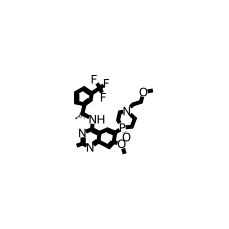 COCCN1CCP(=O)(c2cc3c(N[C@H](C)c4cccc(C(F)(F)F)c4)nc(C)nc3cc2OC)CC1